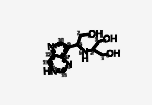 OCC(CO)NC(CO)c1cnc2c[nH]cnc1-2